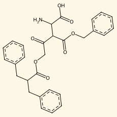 NC(C(=O)O)C(C(=O)COC(=O)C(Cc1ccccc1)Cc1ccccc1)C(=O)OCc1ccccc1